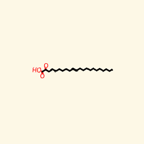 CCCCCCCCCCCCCCCCCCCCC(=O)C(=O)O